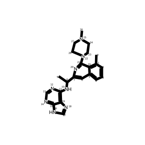 Cc1cccc2cc(C(C)Nc3ncnc4[nH]cnc34)nc(N3CCN(C)CC3)c12